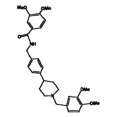 COc1ccc(CN2CCC(c3ccc(CNC(=O)c4ccc(OC)c(OC)c4)cc3)CC2)cc1OC